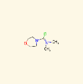 C[N+](C)=C(Cl)N1CCOCC1